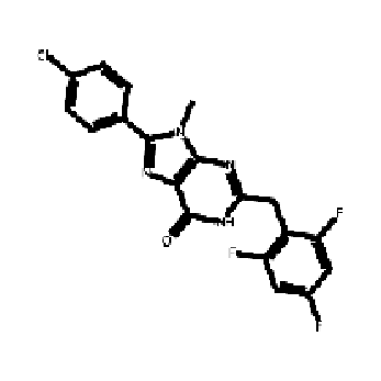 Cn1c(-c2ccc(Cl)cc2)nc2c(=O)[nH]c(Cc3c(F)cc(F)cc3F)nc21